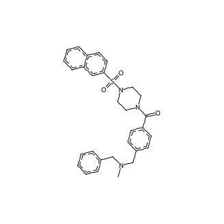 CN(Cc1ccccc1)Cc1ccc(C(=O)N2CCN(S(=O)(=O)c3ccc4ccccc4c3)CC2)cc1